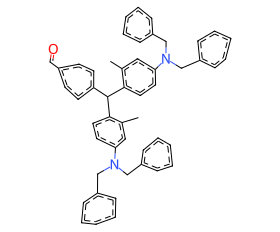 Cc1cc(N(Cc2ccccc2)Cc2ccccc2)ccc1C(c1ccc(C=O)cc1)c1ccc(N(Cc2ccccc2)Cc2ccccc2)cc1C